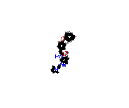 CC1CCC(C)N1CCn1ncc2ccc(NC(=O)Cc3ccc(Oc4ccccc4)cc3)cc21